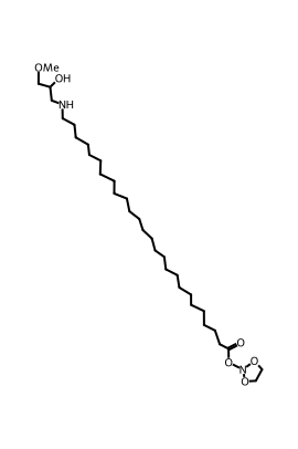 COCC(O)CNCCCCCCCCCCCCCCCCCCCCCCCCCC(=O)ON1OCCO1